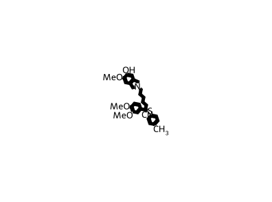 COc1cc2c(cc1O)CN(CCCCCC(C#N)(Sc1ccc(C)cc1)c1ccc(OC)c(OC)c1)C2